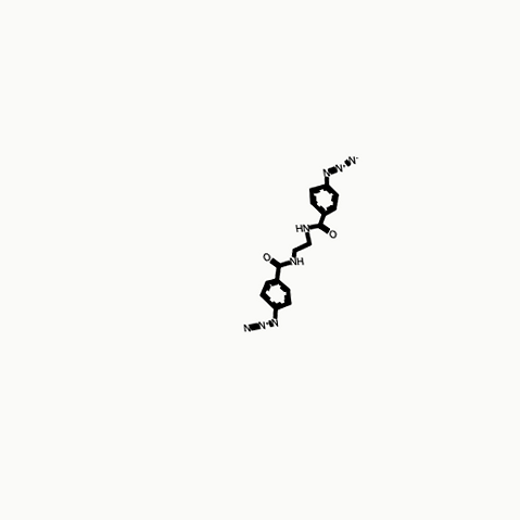 [N-]=[N+]=Nc1ccc(C(=O)NCCNC(=O)c2ccc(N=[N+]=[N-])cc2)cc1